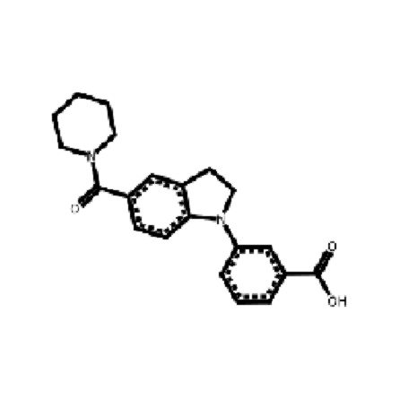 O=C(O)c1cccc(N2CCc3cc(C(=O)N4CCCCC4)ccc32)c1